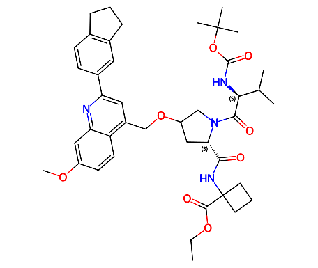 CCOC(=O)C1(NC(=O)[C@@H]2CC(OCc3cc(-c4ccc5c(c4)CCC5)nc4cc(OC)ccc34)CN2C(=O)[C@@H](NC(=O)OC(C)(C)C)C(C)C)CCC1